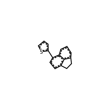 c1csc(-c2ccc3c4c(cccc24)CC3)c1